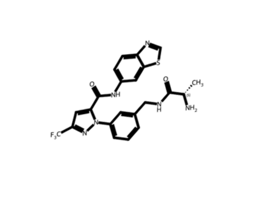 C[C@H](N)C(=O)NCc1cccc(-n2nc(C(F)(F)F)cc2C(=O)Nc2ccc3ncsc3c2)c1